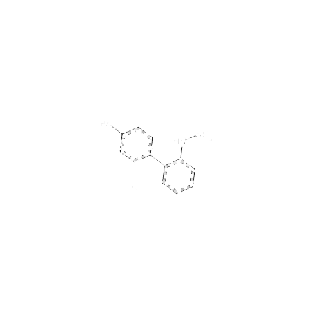 Cl.NNc1ccccc1-c1ccc(Br)cc1